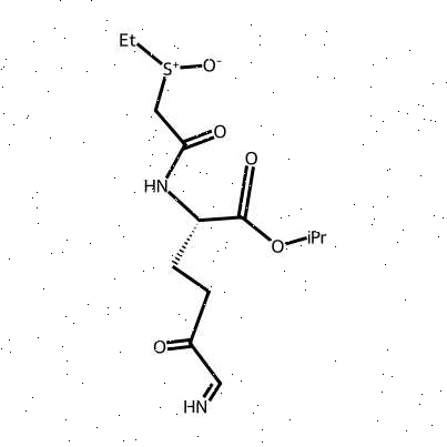 CC[S+]([O-])CC(=O)N[C@@H](CCC(=O)C=N)C(=O)OC(C)C